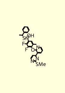 CSc1nccc(-c2cccnc2Oc2c(C)cc(N(O)SC(C)c3ccccc3)c(F)c2F)n1